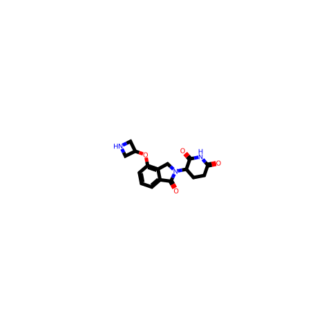 O=C1CCC(N2Cc3c(OC4CNC4)cccc3C2=O)C(=O)N1